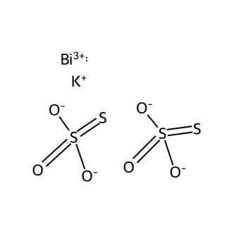 O=S([O-])([O-])=S.O=S([O-])([O-])=S.[Bi+3].[K+]